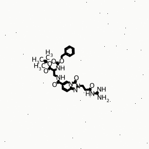 CC(C)(C)OC(=O)C(CNC(=O)c1ccc2nn(CCC(=O)NC(=N)N)c(=O)n2c1)NC(=O)OCc1ccccc1